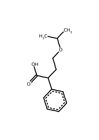 CC(C)OCCC(C(=O)O)c1ccccc1